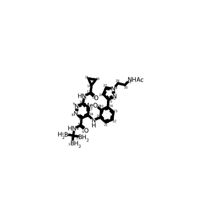 BC(B)(B)NC(=O)c1nnc(NC(=O)C2CC2)cc1Nc1cccc(-c2ccn(CCNC(C)=O)n2)c1OC